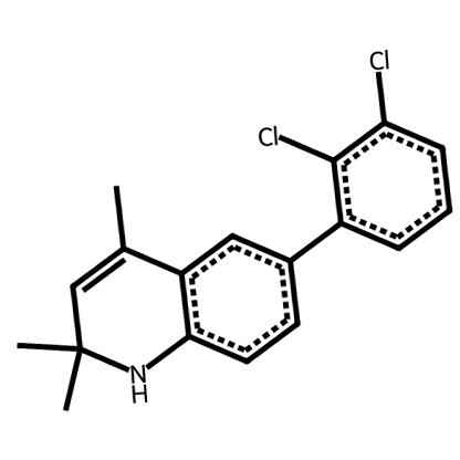 CC1=CC(C)(C)Nc2ccc(-c3cccc(Cl)c3Cl)cc21